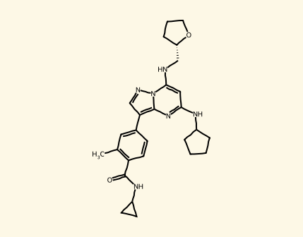 Cc1cc(-c2cnn3c(NC[C@@H]4CCCO4)cc(NC4CCCC4)nc23)ccc1C(=O)NC1CC1